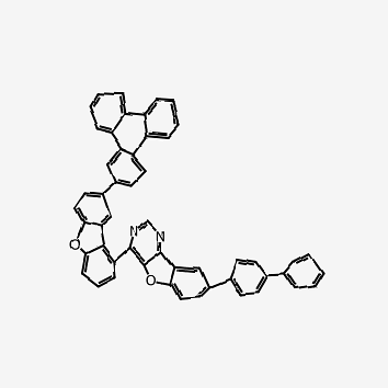 c1ccc(-c2ccc(-c3ccc4oc5c(-c6cccc7oc8ccc(-c9ccc%10c%11ccccc%11c%11ccccc%11c%10c9)cc8c67)ncnc5c4c3)cc2)cc1